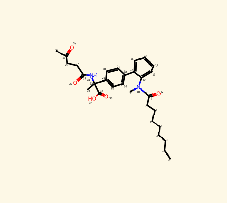 CCCCCCCCC(=O)N(C)c1ccccc1-c1ccc(C(C)(NC(=O)CCC(C)=O)C(=O)O)cc1